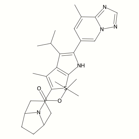 Cc1c(C2CC3CCC(C2)N3C(=O)OC(C)(C)C)sc2[nH]c(-c3cc(C)c4ncnn4c3)c(C(C)C)c12